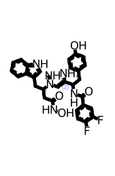 N/C(=C\N(N)C(CC(=O)NO)Cc1c[nH]c2ccccc12)C(Cc1ccc(O)cc1)NC(=O)c1ccc(F)c(F)c1